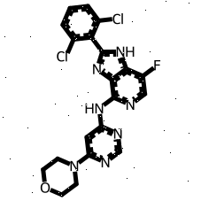 Fc1cnc(Nc2cc(N3CCOCC3)ncn2)c2nc(-c3c(Cl)cccc3Cl)[nH]c12